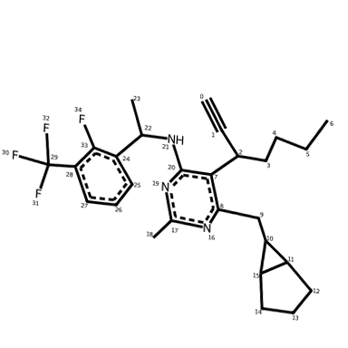 C#CC(CCCC)c1c(CC2C3CCCC32)nc(C)nc1NC(C)c1cccc(C(F)(F)F)c1F